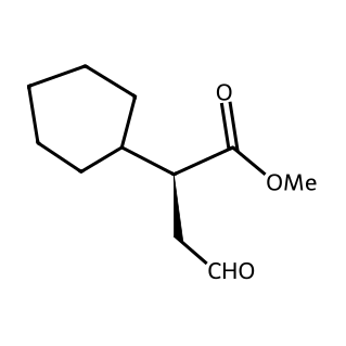 COC(=O)[C@@H](CC=O)C1CCCCC1